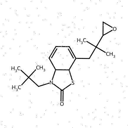 CC(C)(C)CN1C(=O)SC2C(CC(C)(C)C3CO3)=CC=CC21